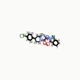 CC(C)C(NC(=O)c1ccccc1[N+](=O)[O-])C(=O)N1CCC(c2ccc(Cl)cc2)CC1